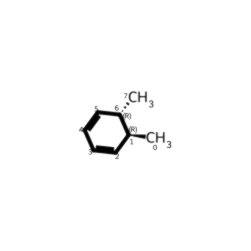 C[C@H]1C=CC=C[C@@H]1C